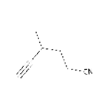 C#CC(C)CCC#N